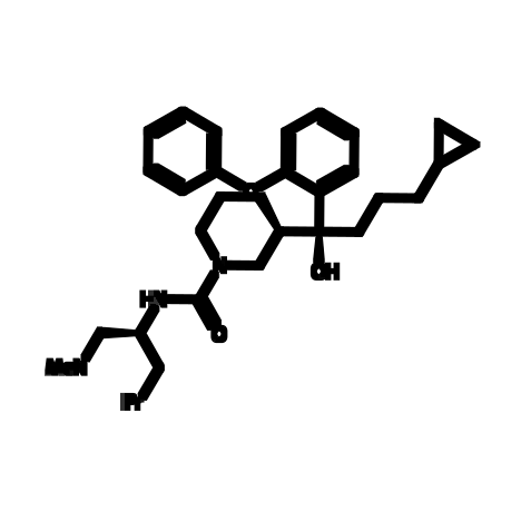 CNC[C@H](CC(C)C)NC(=O)N1CCC[C@@H]([C@@](O)(CCCC2CC2)c2ccccc2Oc2ccccc2)C1